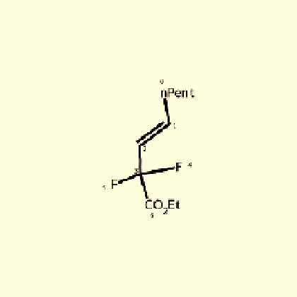 CCCCCC=CC(F)(F)C(=O)OCC